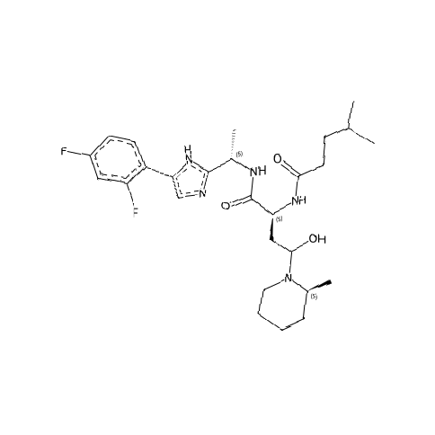 CC(C)CCC(=O)N[C@@H](CC(O)N1CCCC[C@@H]1C)C(=O)N[C@@H](C)c1ncc(-c2ccc(F)cc2F)[nH]1